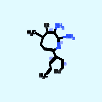 C=C/C=C(\C=C/C(C)CC)C1=CCC(C)/C(CC)=C(N)\C(N)=N/1